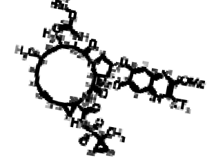 COc1cc2nc(C(F)(F)F)c(OC)nc2cc1O[C@@H]1C[C@H]2C(=O)N[C@]3(C(=O)NS(=O)(=O)C4(C)CC4)CC3/C=C\CC[C@@H](C)C[C@@H](C)[C@H](NC(=O)OC(C)(C)C)C(=O)N2C1